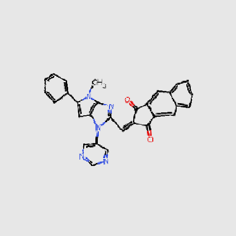 Cn1c(-c2ccccc2)cc2c1nc(C=C1C(=O)c3cc4ccccc4cc3C1=O)n2-c1cncnc1